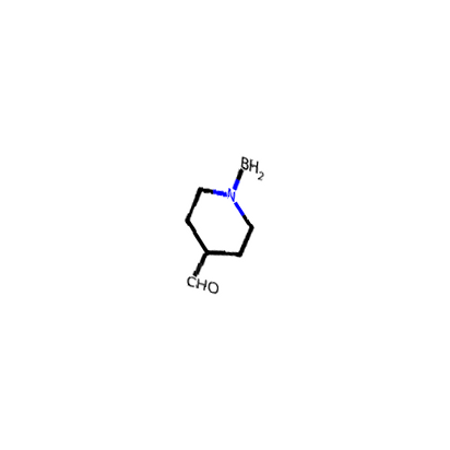 BN1CCC(C=O)CC1